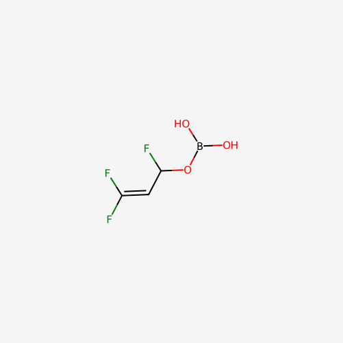 OB(O)OC(F)C=C(F)F